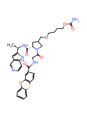 C[C@@H](NC(=O)[C@@H]1CC(COCCCCOC(N)=O)CN1C(=O)CNC(=O)c1ccc2c(c1)Oc1ccccc1S2)c1cc2cnccc2[nH]1